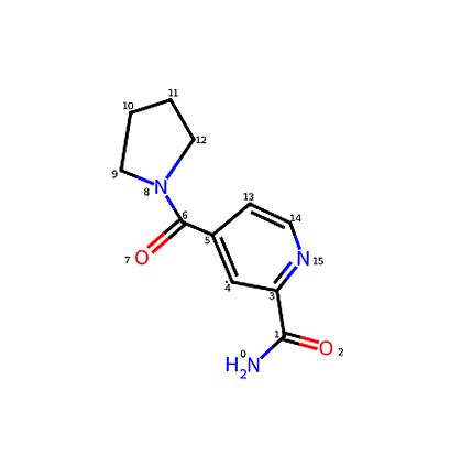 NC(=O)c1[c]c(C(=O)N2CCCC2)ccn1